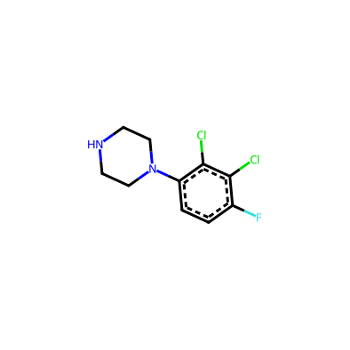 Fc1ccc(N2CCNCC2)c(Cl)c1Cl